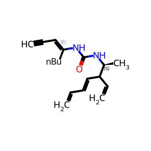 C#C/C=C(\CCCC)NC(=O)N[C@@H](C)C(C=C)C=CC=C